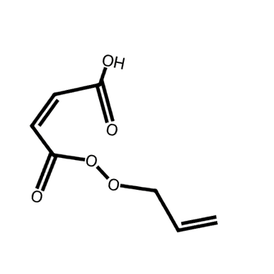 C=CCOOC(=O)/C=C\C(=O)O